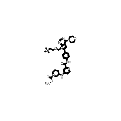 CC(C)(C)OC(=O)N1CCCC(Nc2ccnc(C(=O)Nc3ccc(-c4cc5c(N6CCOCC6)ncnc5n4COCC[Si](C)(C)C)cc3)c2)C1